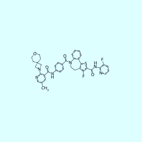 Cc1cnc(N2CC3(CCOCC3)C2)c(C(=O)Nc2ccc(C(=O)N3CCc4c(sc(C(=O)Nc5ncccc5F)c4F)-c4ccccc43)cc2)c1